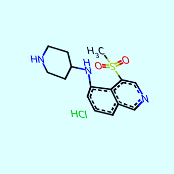 CS(=O)(=O)c1cncc2cccc(NC3CCNCC3)c12.Cl